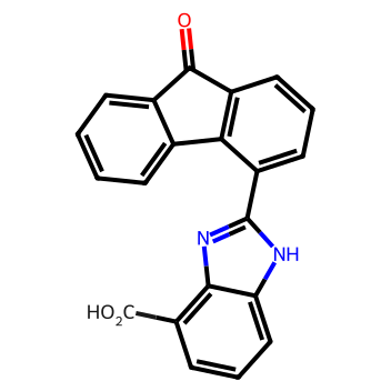 O=C1c2ccccc2-c2c1cccc2-c1nc2c(C(=O)O)cccc2[nH]1